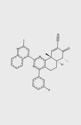 Cc1cc(-c2nc(-c3cccc(F)c3)c3c(n2)[C@]2(C)C=C(C#N)C(=O)[C@H](C)[C@H]2CC3)c2ccccc2n1